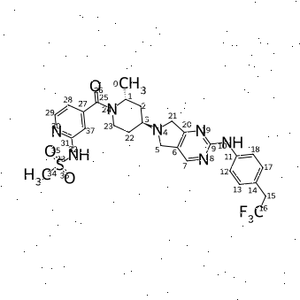 C[C@@H]1C[C@@H](N2Cc3cnc(Nc4ccc(CC(F)(F)F)cc4)nc3C2)CCN1C(=O)c1ccnc(NS(C)(=O)=O)c1